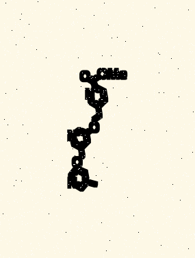 COC(=O)c1ccc(CCOc2cncc(COc3cncc(C)c3)c2)cn1